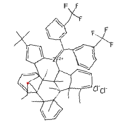 CCCCC1C=C(C(C)(C)C)C=[C]1[Zr+2](=[C](c1cccc(C(F)(F)F)c1)c1cccc(C(F)(F)F)c1)[CH]1C2C=CC=C(C)C2(C)C2(C)C3(C)C=CC=CC3(C)C3(C)C=CC=CC3(C)C12C.[Cl-].[Cl-]